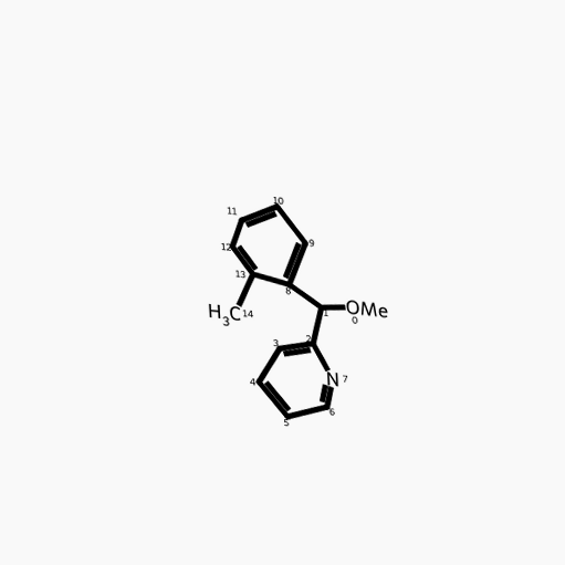 COC(c1ccccn1)c1ccccc1C